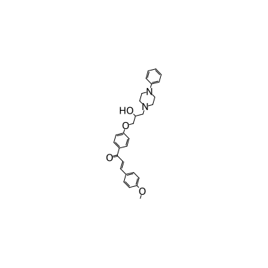 COc1ccc(C=CC(=O)c2ccc(OCC(O)CN3CCN(c4ccccc4)CC3)cc2)cc1